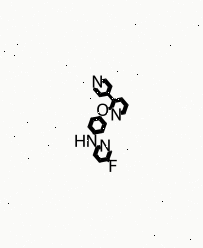 Fc1ccc(Nc2ccc(Oc3ncccc3-c3ccncc3)cc2)nc1